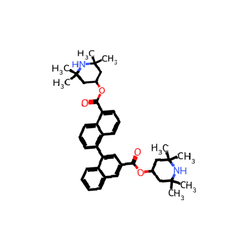 CC1(C)CC(OC(=O)c2cc(-c3cccc4c(C(=O)OC5CC(C)(C)NC(C)(C)C5)cccc34)c3ccccc3c2)CC(C)(C)N1